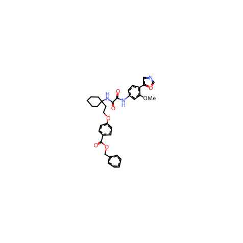 COc1cc(NC(=O)C(=O)NC2(CCOc3ccc(C(=O)OCc4ccccc4)cc3)CCCCC2)ccc1-c1cnco1